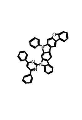 c1ccc(-c2cc(-c3ccccc3)nc(-n3c4ccccc4c4cc5c6cc7c(cc6n(-c6ccccc6)c5cc43)oc3ccccc37)n2)cc1